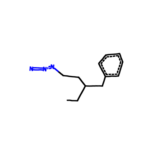 CCC(CCN=[N+]=[N-])Cc1ccccc1